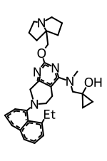 CCc1cccc2cccc(N3CCc4c(nc(OCC56CCCN5CCC6)nc4N(C)CC4(O)CC4)C3)c12